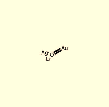 [Ag].[Li].[O]=[Au]